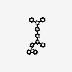 c1ccc(-c2nc(-c3ccccc3)nc(-c3ccc(-c4ccc(-c5cc(-c6cccc(-n7c8ccccc8c8ccccc87)c6)cc(-c6ccccn6)n5)nc4)cc3)n2)cc1